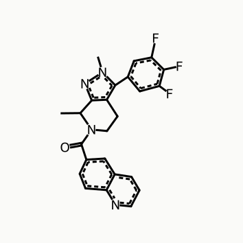 CC1c2nn(C)c(-c3cc(F)c(F)c(F)c3)c2CCN1C(=O)c1ccc2ncccc2c1